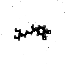 CCN(CC)CCCN(C)c1ccc(Cl)c(Cl)c1